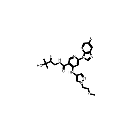 COCCn1cc(Nc2cc(-n3cnc4cc(Cl)cnc43)ncc2C(=O)NCC(F)C(C)(C)O)cn1